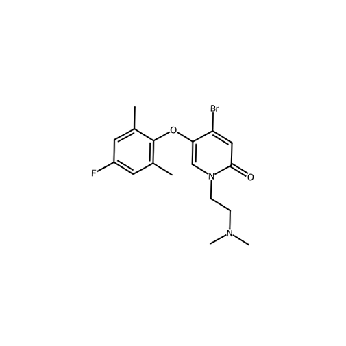 Cc1cc(F)cc(C)c1Oc1cn(CCN(C)C)c(=O)cc1Br